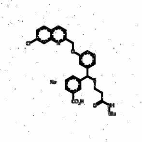 CC(C)(C)NC(=O)CCSC(c1cccc(OCc2ccc3ccc(Cl)cc3n2)c1)c1cccc(C(=O)O)c1.[Na]